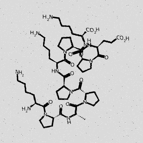 C[C@H](NC(=O)[C@@H]1CCCN1C(=O)[C@@H](N)CCCCN)C(=O)N1CCC[C@H]1C(=O)N1CCC[C@H]1C(=O)N[C@@H](CCCCN)C(=O)N1CCC[C@H]1C(=O)N[C@@H](CCC(=O)O)C(=O)N1CCC[C@H]1C(=O)N[C@@H](CCCCN)C(=O)O